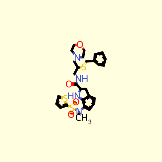 CN(c1cccc2c1NC(C(=O)NCC(CN1CCOCC1)SCc1ccccc1)C2)S(=O)(=O)c1cccs1